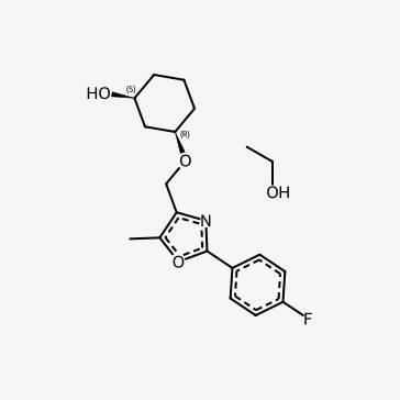 CCO.Cc1oc(-c2ccc(F)cc2)nc1CO[C@@H]1CCC[C@H](O)C1